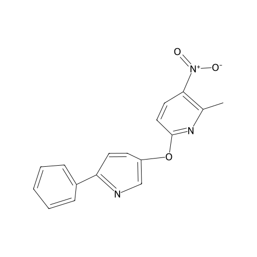 Cc1nc(Oc2ccc(-c3ccccc3)nc2)ccc1[N+](=O)[O-]